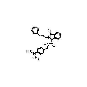 CN(C)c1ccc(CNC(=O)C2c3ccccc3C(=O)N2CCCc2ccccc2)cc1